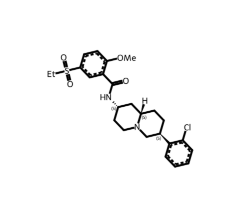 CCS(=O)(=O)c1ccc(OC)c(C(=O)N[C@H]2CCN3C[C@H](c4ccccc4Cl)CC[C@H]3C2)c1